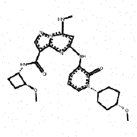 CNc1cc(Nc2cccn([C@H]3CC[C@@H](OC)CC3)c2=O)nc2c(C(=O)N[C@H]3CC[C@@H]3OC)cnn12